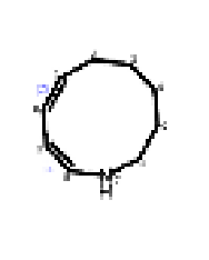 C1=C\CCCCCN\C=C/1